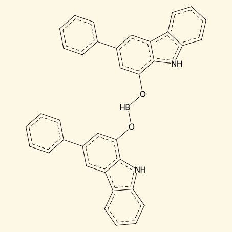 B(Oc1cc(-c2ccccc2)cc2c1[nH]c1ccccc12)Oc1cc(-c2ccccc2)cc2c1[nH]c1ccccc12